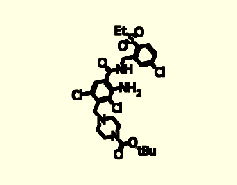 CCS(=O)(=O)c1ccc(Cl)cc1CNC(=O)c1cc(Cl)c(CN2CCN(C(=O)OC(C)(C)C)CC2)c(Cl)c1N